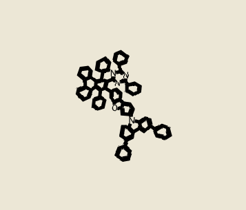 c1ccc(-c2ccc3c(c2)c2cc(-c4ccccc4)ccc2n3-c2ccc3c(c2)oc2cc(-c4c(-c5nc(-c6ccccc6)nc(-c6ccccc6)n5)c(-c5ccccc5)c5c6ccccc6c6ccccc6c5c4-c4ccccc4)ccc23)cc1